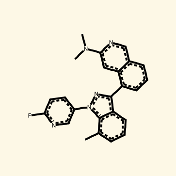 Cc1cccc2c(-c3cccc4cnc(N(C)C)cc34)nn(-c3ccc(F)nc3)c12